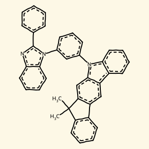 CC1(C)c2ccccc2-c2cc3c4ccccc4n(-c4cccc(-n5c(-c6ccccc6)nc6ccccc65)c4)c3cc21